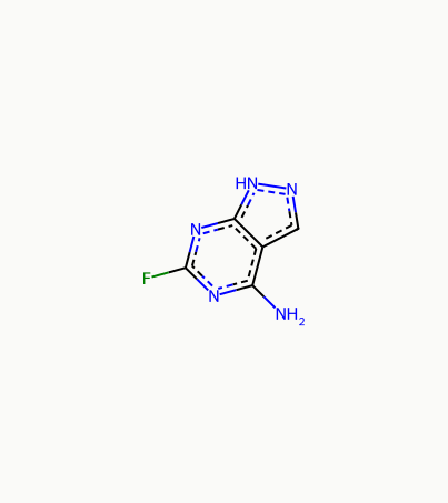 Nc1nc(F)nc2[nH]ncc12